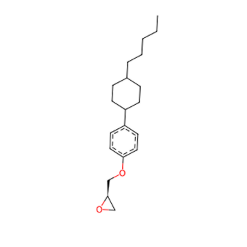 CCCCCC1CCC(c2ccc(OC[C@H]3CO3)cc2)CC1